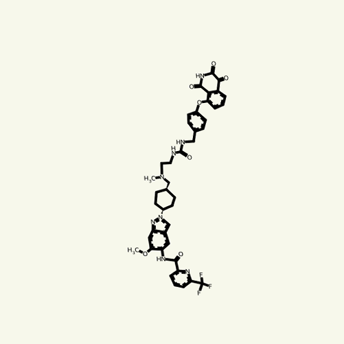 COc1cc2nn([C@H]3CC[C@H](CN(C)CCNC(=O)NCc4ccc(Oc5cccc6c5C(=O)NC(=O)C6=O)cc4)CC3)cc2cc1NC(=O)c1cccc(C(F)(F)F)n1